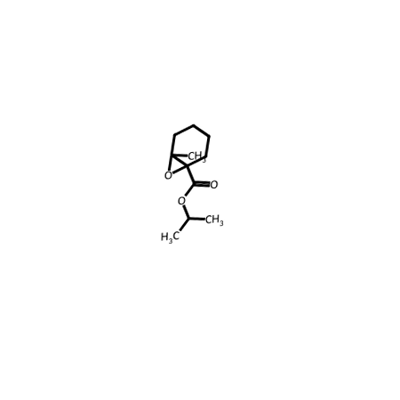 CC(C)OC(=O)C12CCCCC1(C)O2